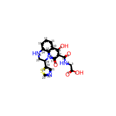 O=C(O)CNC(=O)c1c(O)c2cccc3c2n(c1=O)C(c1cncs1)CN3